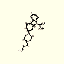 O=C(O)n1c2ccccc2c2ccc(N3CCN(CCO)CC3)cc21